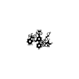 COCCOCN(c1onc(C)c1C)S(=O)(=O)c1ccccc1-c1ccc(-c2ncco2)cc1CN1C(=O)C(F)(F)c2ccccc21